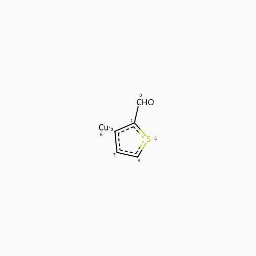 O=Cc1cccs1.[Cu]